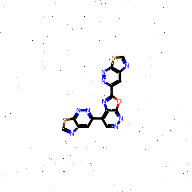 [c]1c(-c2nc3c(-c4cc5ncsc5nn4)cnnc3o2)nnc2scnc12